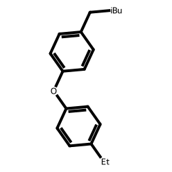 CCc1ccc(Oc2ccc(CC(C)CC)cc2)cc1